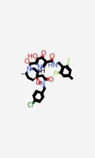 Cc1cc(F)c(CNC(=O)c2cn3c(c(O)c2=O)C(=O)N2C[C@@H]3[C@]3(CC[C@@H]2C)CC(=O)N(Cc2ccc(Cl)cc2)O3)c(F)c1